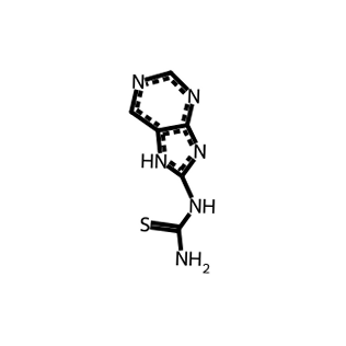 NC(=S)Nc1nc2ncncc2[nH]1